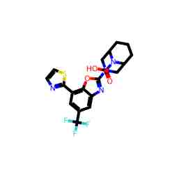 O=C(O)N1C2CCCC1CN(c1nc3cc(C(F)(F)F)cc(-c4nccs4)c3o1)C2